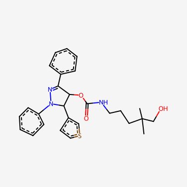 CC(C)(CO)CCCNC(=O)OC1C(c2ccccc2)=NN(c2ccccc2)C1c1ccsc1